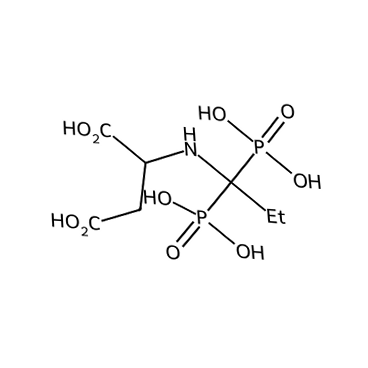 CCC(NC(CC(=O)O)C(=O)O)(P(=O)(O)O)P(=O)(O)O